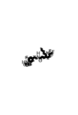 CCCCc1nc(C(F)(F)F)ccc1C=CC(=O)NCCc1cc(F)c(NS(C)(=O)=O)c(F)c1